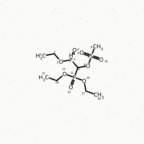 CCO[PH](=O)C(OS(C)(=O)=O)P(=O)(OCC)OCC